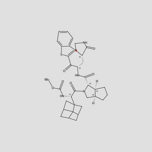 CC(C)(C)OC(=O)N[C@H](C(=O)N1C[C@@H]2CCC[C@@H]2[C@H]1C(=O)N[C@@H](C[C@@H]1CCNC1=O)C(=O)c1nc2ccccc2s1)C12CC3CC4CC(C1)C432